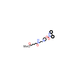 COC(=O)CCCCC(=O)NCCCN1CCC(OC(=O)Nc2ccccc2-c2ccccc2)CC1